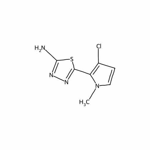 Cn1ccc(Cl)c1-c1nnc(N)s1